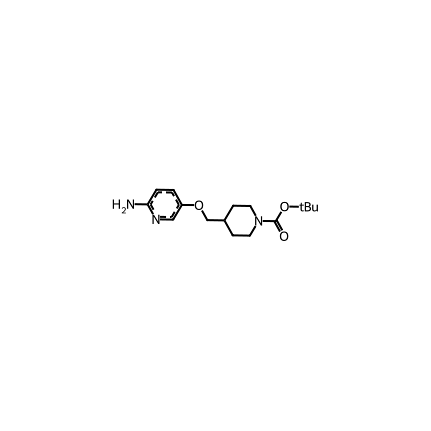 CC(C)(C)OC(=O)N1CCC(COc2ccc(N)nc2)CC1